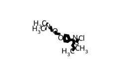 CCN(CC)CCOCCOc1ccc(-c2nc(Cl)sc2CC(C)C)cc1